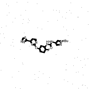 CC(C)(C)n1cc(NC(=O)Nc2cc(Oc3nccc(-c4nncs4)n3)ccc2F)cn1